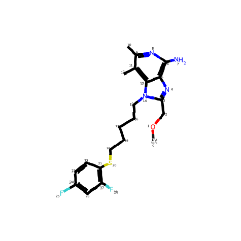 CCOCc1nc2c(N)nc(C)c(C)c2n1CCCCCSc1ccc(F)cc1F